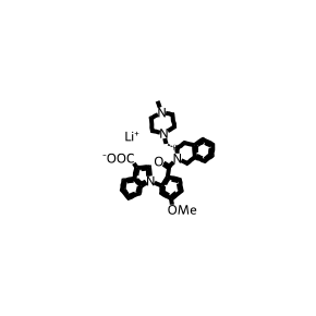 COc1ccc(C(=O)N2Cc3ccccc3C[C@H]2CN2CCN(C)CC2)c(-n2cc(C(=O)[O-])c3ccccc32)c1.[Li+]